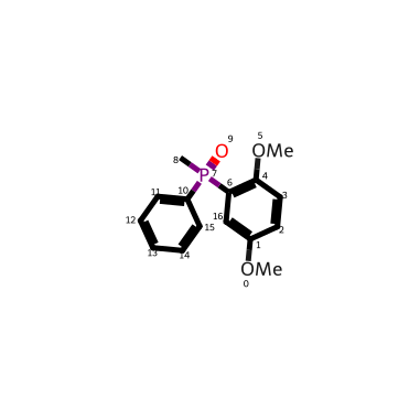 COc1ccc(OC)c(P(C)(=O)c2ccccc2)c1